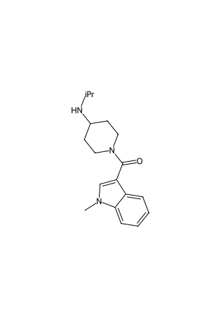 CC(C)NC1CCN(C(=O)c2cn(C)c3ccccc23)CC1